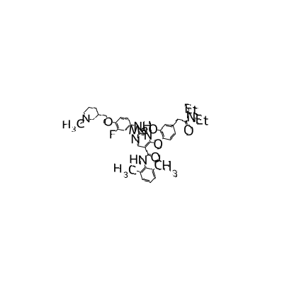 CCN(CC)C(=O)Cc1ccc(Oc2nc(Nc3ccc(OCC4CCCN(C)C4)c(F)c3)ncc2C(=O)Nc2c(C)cccc2C)c(OC)c1